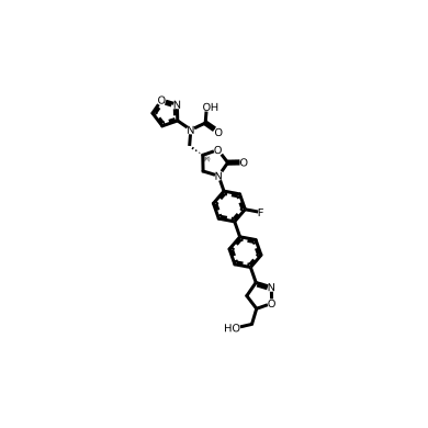 O=C1O[C@@H](CN(C(=O)O)c2ccon2)CN1c1ccc(-c2ccc(C3=NOC(CO)C3)cc2)c(F)c1